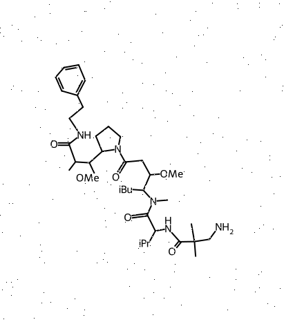 CCC(C)C(C(CC(=O)N1CCCC1C(OC)C(C)C(=O)NCCc1ccccc1)OC)N(C)C(=O)C(NC(=O)C(C)(C)CN)C(C)C